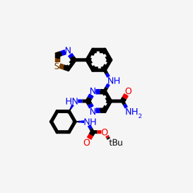 CC(C)(C)OC(=O)N[C@H]1CCCC[C@H]1Nc1ncc(C(N)=O)c(Nc2cccc(-c3cscn3)c2)n1